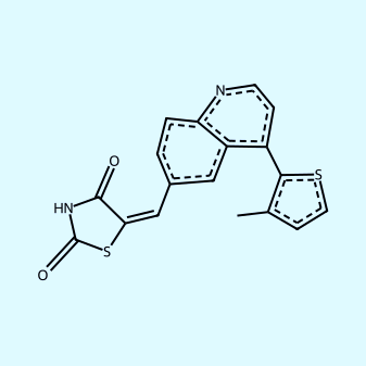 Cc1ccsc1-c1ccnc2ccc(C=C3SC(=O)NC3=O)cc12